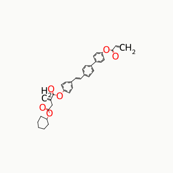 C=CC(=O)Oc1ccc(-c2ccc(/C=C/c3ccc(OC(=O)C(=C)CC(=O)OC4CCCCC4)cc3)cc2)cc1